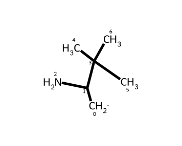 [CH2]C(N)C(C)(C)C